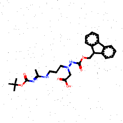 C/C(=N\C(=O)OC(C)(C)C)NCCCN(CC(=O)O)NC(=O)OCC1c2ccccc2-c2ccccc21